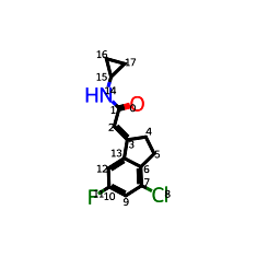 O=C(C=C1CCc2c(Cl)cc(F)cc21)NC1CC1